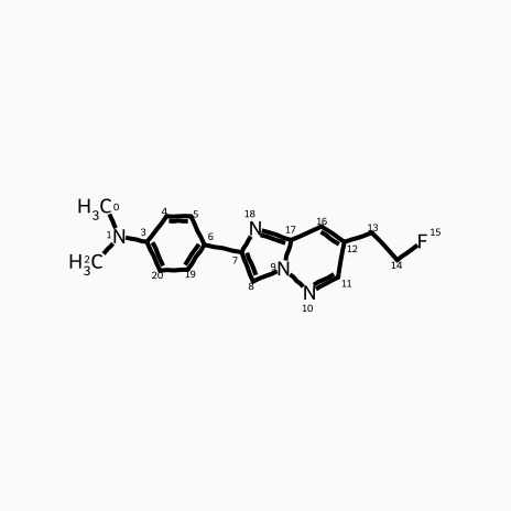 CN(C)c1ccc(-c2cn3ncc(CCF)cc3n2)cc1